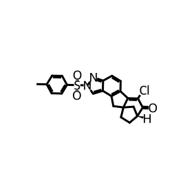 Cc1ccc(S(=O)(=O)n2cc3c4c(ccc3n2)C2=C(Cl)C(=O)[C@@H]3CCC2(C4)C3)cc1